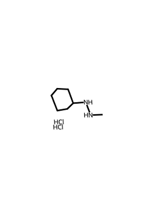 CNNC1CCCCC1.Cl.Cl